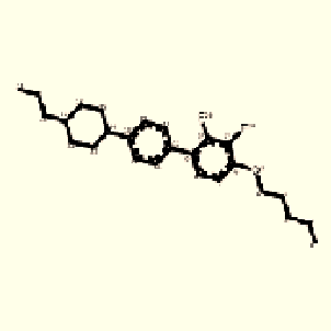 CCCCCOc1ccc(-c2ccc(C3CCC(CCC)CC3)cc2)c(F)c1F